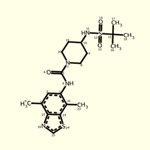 Cc1cc(NC(=O)N2CCC(NS(=O)(=O)C(C)(C)C)CC2)c(C)c2scnc12